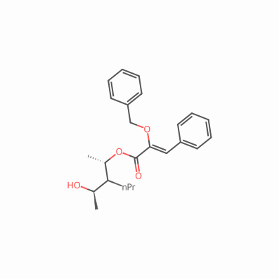 CCCC([C@H](C)OC(=O)C(=Cc1ccccc1)OCc1ccccc1)[C@@H](C)O